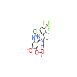 COc1cc2nc(Cl)nc(NC(C)c3cccc(C(F)(F)F)c3C)c2cc1OC(C)=O